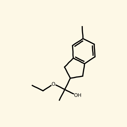 CCOC(C)(O)C1Cc2ccc(C)cc2C1